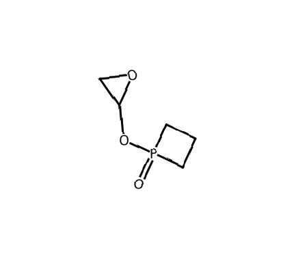 O=P1(OC2CO2)CCC1